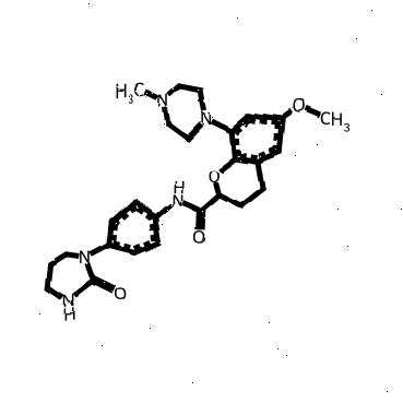 COc1cc2c(c(N3CCN(C)CC3)c1)OC(C(=O)Nc1ccc(N3CCCNC3=O)cc1)CC2